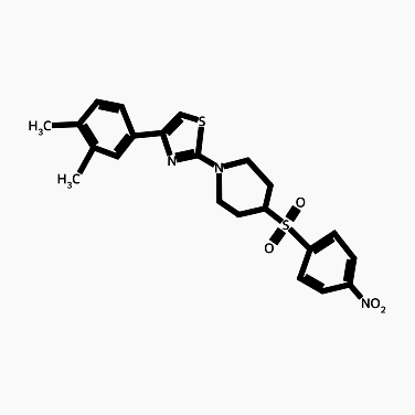 Cc1ccc(-c2csc(N3CCC(S(=O)(=O)c4ccc([N+](=O)[O-])cc4)CC3)n2)cc1C